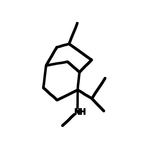 CNC1(C(C)C)CCC2CC(C)CC1C2